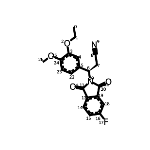 CCOc1cc([C@@H](CC#N)N2C(=O)c3ccc(F)cc3C2=O)ccc1OC